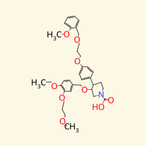 CCOc1ccc(COC2CN(C(=O)O)CCC2c2ccc(OCCCOCc3ccccc3OC)cc2)cc1OCCCOC